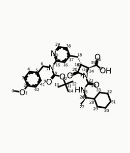 COc1ccc(CN(C(=O)OC(C)(C)C)c2cc(C[C@H]3C(=O)N(C(=O)N[C@H](C)C4CCCCC4)[C@@H]3C(=O)O)ccn2)cc1